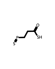 O=C(S)CCP=S